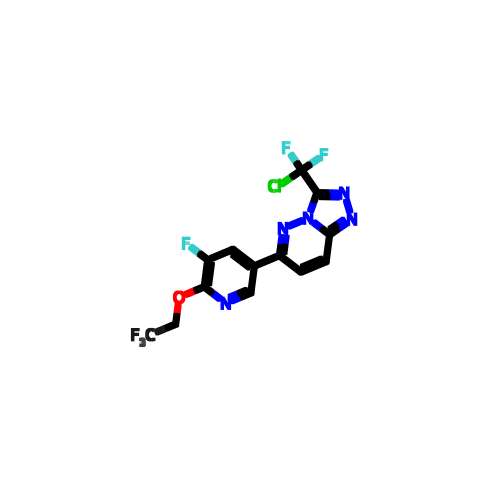 Fc1cc(-c2ccc3nnc(C(F)(F)Cl)n3n2)cnc1OCC(F)(F)F